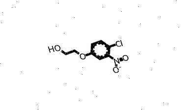 O=[N+]([O-])c1cc(OCCO)ccc1Cl